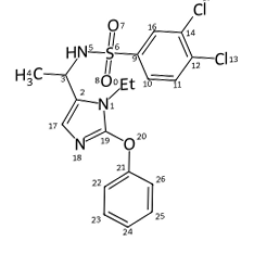 CCn1c(C(C)NS(=O)(=O)c2ccc(Cl)c(Cl)c2)cnc1Oc1ccccc1